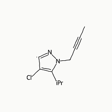 CC#CCn1n[c]c(Cl)c1C(C)C